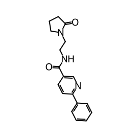 O=C(NCCN1CCCC1=O)c1ccc(-c2ccccc2)nc1